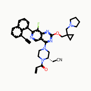 C#Cc1cccc2cccc(-c3ncc4c(N5CCN(C(=O)C=C)[C@@H](CC#N)C5)nc(OCC5(CN6CCCC6)CC5)nc4c3F)c12